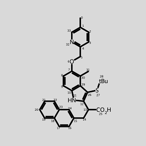 Cc1ccc(COc2ccc3[nH]c(C(Cc4ccc5ccccc5c4)C(=O)O)c(SC(C)(C)C)c3c2C)nc1